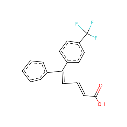 O=C(O)C=CC=C(c1ccccc1)c1ccc(C(F)(F)F)cc1